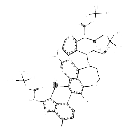 C=CC[C@H](c1cccnc1N(C(=O)OC(C)(C)C)C(=O)OC(C)(C)C)N1CCOc2c(Cl)c(-c3ccc(F)c4sc(NC(=O)OC(C)(C)C)c(C#N)c34)c(F)c3nc([S+](C)[O-])nc1c23